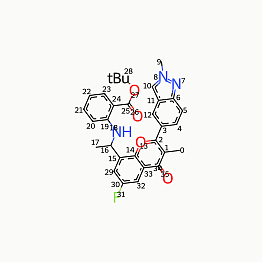 Cc1c(-c2ccc3nn(C)cc3c2)oc2c(C(C)Nc3ccccc3C(=O)OC(C)(C)C)cc(F)cc2c1=O